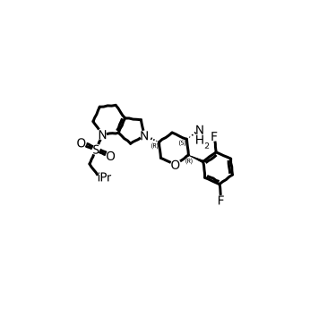 CC(C)CS(=O)(=O)N1CCCC2=C1CN([C@H]1CO[C@H](c3cc(F)ccc3F)[C@@H](N)C1)C2